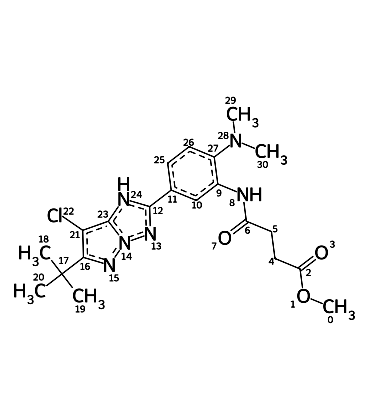 COC(=O)CCC(=O)Nc1cc(-c2nn3nc(C(C)(C)C)c(Cl)c3[nH]2)ccc1N(C)C